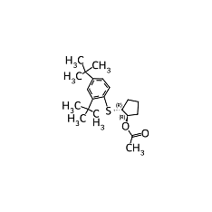 CC(=O)O[C@@H]1CCC[C@H]1Sc1ccc(C(C)(C)C)cc1C(C)(C)C